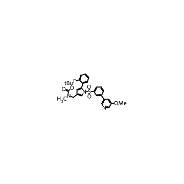 COc1cncc(-c2cccc(S(=O)(=O)n3cc(CN(C)C(=O)OC(C)(C)C)cc3-c3ccccc3F)c2)c1